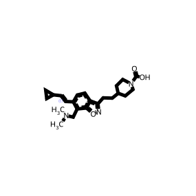 CN(C)Cc1c(/C=C/C2CC2)ccc2c(CCC3CCN(C(=O)O)CC3)noc12